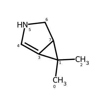 CC1(C)C2=CNCC21